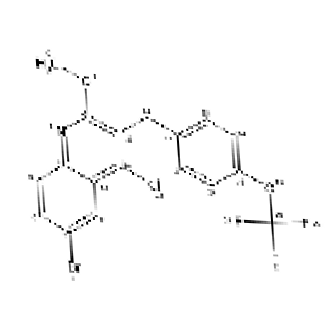 COc1nc2ccc(Br)cc2c(Cl)c1Cc1ccc(OC(F)(F)F)cc1